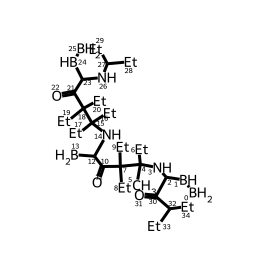 BBC(NC(C)(CC)C(CC)(CC)C(=O)C(B)NC(CC)(CC)C(CC)(CC)C(=O)C(BB)NC(CC)CC)C(=O)C(CC)CC